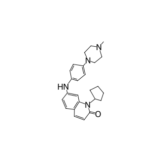 CN1CCN(c2ccc(Nc3ccc4ccc(=O)n(C5CCCC5)c4c3)cc2)CC1